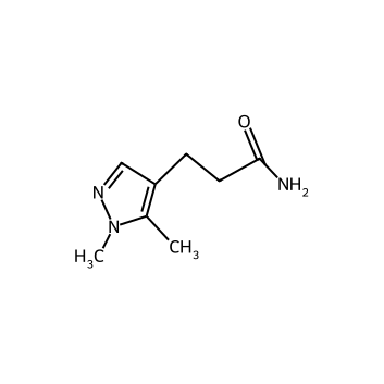 Cc1c(CCC(N)=O)cnn1C